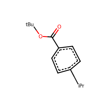 CC(C)c1ccc(C(=O)OC(C)(C)C)cc1